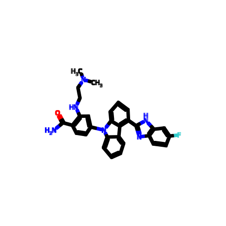 CN(C)CCNc1cc(-n2c3ccccc3c3c(-c4nc5ccc(F)cc5[nH]4)cccc32)ccc1C(N)=O